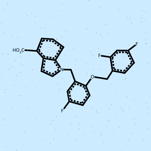 O=C(O)c1cccc2c1ccn2Cc1cc(F)ccc1OCc1ccc(F)cc1F